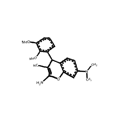 COc1cccc(C2C(C#N)=C(N)Oc3cc(N(C)C)ccc32)c1OC